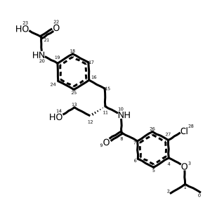 CC(C)Oc1ccc(C(=O)N[C@H](CCO)Cc2ccc(NC(=O)O)cc2)cc1Cl